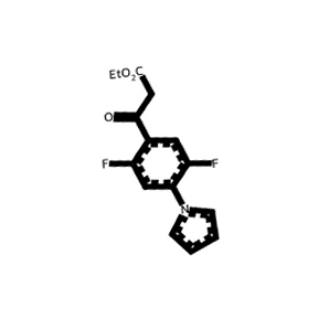 CCOC(=O)CC(=O)c1cc(F)c(-n2cccc2)cc1F